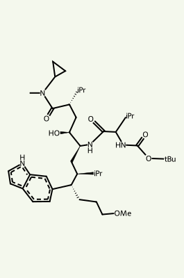 COCCC[C@H](c1ccc2cc[nH]c2c1)[C@@H](C[C@H](NC(=O)C(NC(=O)OC(C)(C)C)C(C)C)[C@@H](O)C[C@H](C(=O)N(C)C1CC1)C(C)C)C(C)C